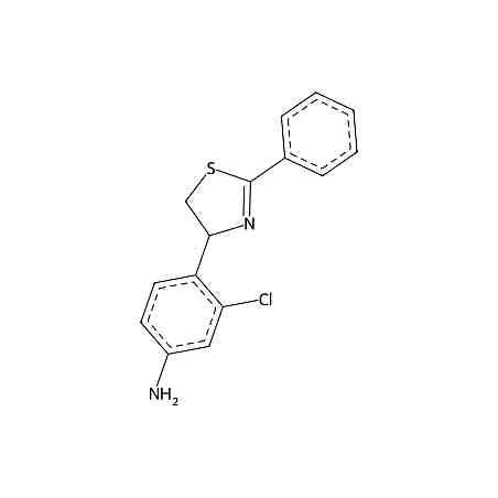 Nc1ccc(C2CSC(c3ccccc3)=N2)c(Cl)c1